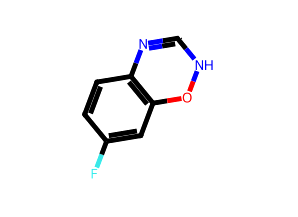 Fc1ccc2c(c1)ON[C]=N2